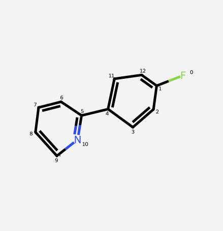 Fc1ccc(-c2ccc[c]n2)cc1